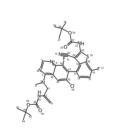 C=C(CN(C)c1ncnc2c(F)c(-c3ccc(F)c4sc(NC(=O)OC(C)(C)C)c(C#N)c34)c(Cl)cc12)NC(=O)OC(C)(C)C